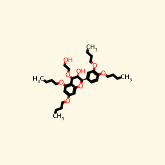 CCCCOc1cc(OCCCC)c2c(c1)O[C@H](c1ccc(OCCCC)c(OCCCC)c1)[C@H](O)C2OCCO